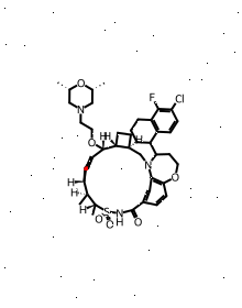 C[C@@H]1[C@@H](C)S(=O)(=O)NC(=O)c2ccc3c(c2)N(C[C@@H]2CC[C@H]2[C@@H](OCCN2C[C@@H](C)O[C@@H](C)C2)C2=C[C@H]1C2)C(C1CCCc2c1ccc(Cl)c2F)CCO3